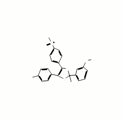 COc1cccc(C2(C)NC(c3ccc(F)cc3)=C(c3ccc(S(C)(=O)=O)cc3)O2)c1